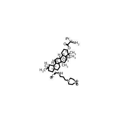 CC(C)[C@H](N)C(=O)O[C@H]1CC[C@]2(C)[C@H]3CC=C4[C@@H]5CC(C)(C)CC[C@]5(C(=C=O)NCCCN5CCS(=O)(=O)CC5)CC[C@@]4(C)[C@]3(C)CC[C@H]2C1(C)C